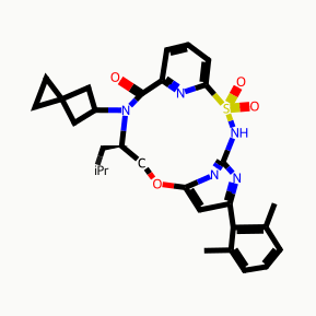 Cc1cccc(C)c1-c1cc2nc(n1)NS(=O)(=O)c1cccc(n1)C(=O)N(C1CC3(CC3)C1)[C@H](CC(C)C)CO2